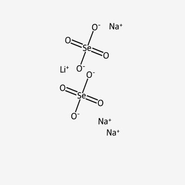 O=[Se](=O)([O-])[O-].O=[Se](=O)([O-])[O-].[Li+].[Na+].[Na+].[Na+]